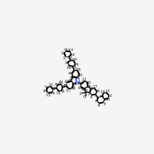 CC1(C)c2cc(-c3cccc4ccccc34)ccc2-c2ccc(-n3c4ccc(-c5ccc(-c6ccccc6)cc5)cc4c4cc(-c5ccc(-c6ccccc6)cc5)ccc43)cc21